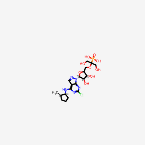 C[C@@H]1CCC[C@@H]1Nc1nc(Cl)nc2c1cnn2[C@@H]1OC(COC(CO)(CO)P(=O)(O)O)[C@@H](O)[C@H]1O